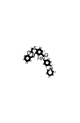 O=C(Nc1ccc(SN2CCCCC2)cc1)c1ccc2c(c1)N(Cc1ccccc1)C(=O)CS2